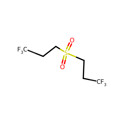 O=S(=O)(CCC(F)(F)F)CCC(F)(F)F